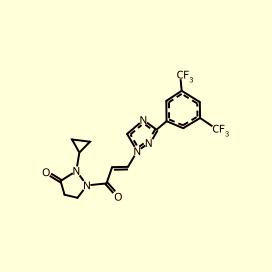 O=C(C=Cn1cnc(-c2cc(C(F)(F)F)cc(C(F)(F)F)c2)n1)N1CCC(=O)N1C1CC1